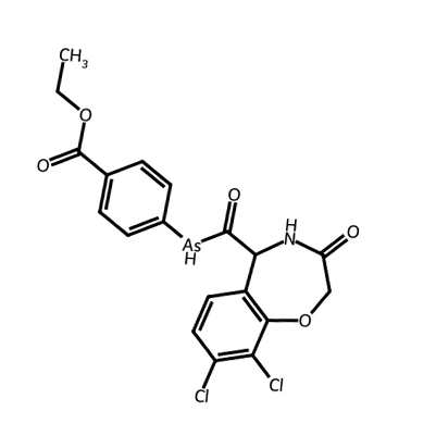 CCOC(=O)c1ccc([AsH]C(=O)C2NC(=O)COc3c2ccc(Cl)c3Cl)cc1